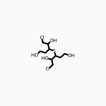 OCCC(SC(CCO)C(O)CCl)C(O)CCl